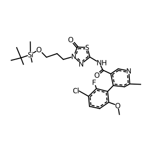 COc1ccc(Cl)c(F)c1-c1cc(C)ncc1C(=O)Nc1nn(CCCO[Si](C)(C)C(C)(C)C)c(=O)s1